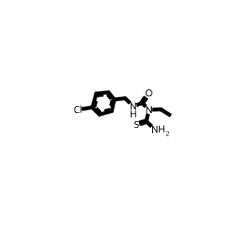 CCN(C(=O)NCc1ccc(Cl)cc1)C(N)=S